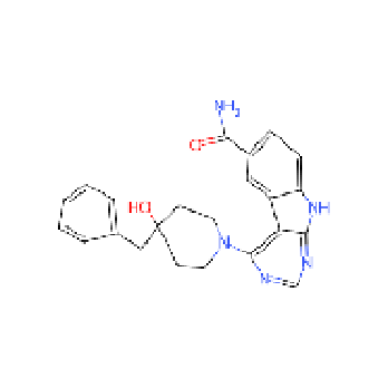 NC(=O)c1ccc2[nH]c3ncnc(N4CCC(O)(Cc5ccccc5)CC4)c3c2c1